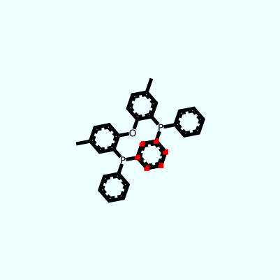 Cc1ccc(Oc2ccc(C)cc2P(c2ccccc2)c2ccccc2)c(P(c2ccccc2)c2ccccc2)c1